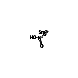 O=[N+]([O-])O.[Sm+3]